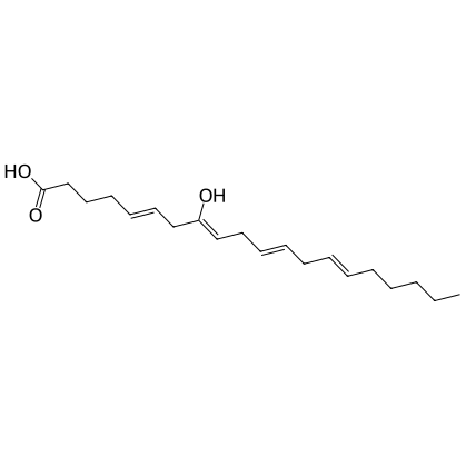 CCCCCC=CCC=CCC=C(O)CC=CCCCC(=O)O